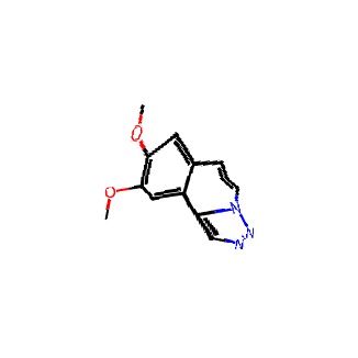 COc1cc2ccn3nncc3c2cc1OC